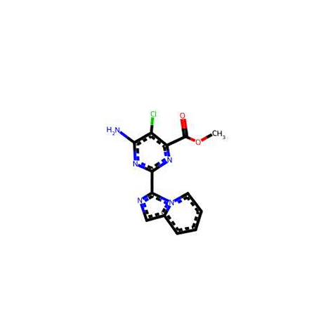 COC(=O)c1nc(-c2ncc3ccccn23)nc(N)c1Cl